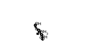 CC(C)OC(=O)Nc1ccc(-c2c(N)c3ccc(OCCN4CCC(O)C4)cc3n2C2CCC2)cc1